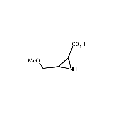 COCC1NC1C(=O)O